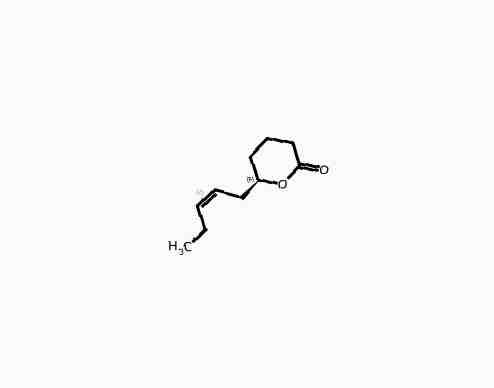 CC/C=C\C[C@H]1CCCC(=O)O1